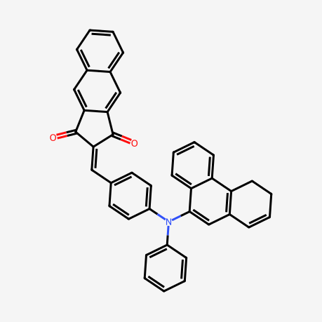 O=C1C(=Cc2ccc(N(c3ccccc3)c3cc4c(c5ccccc35)CCC=C4)cc2)C(=O)c2cc3ccccc3cc21